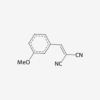 COc1cccc(C=C(C#N)C#N)c1